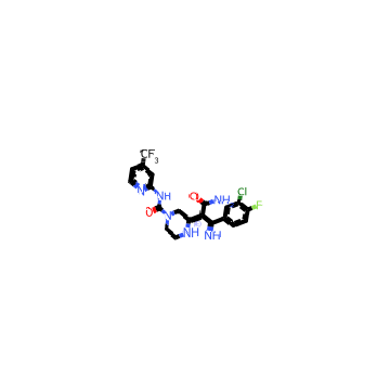 N=C(/C(C(N)=O)=C1/CN(C(=O)Nc2cc(C(F)(F)F)ccn2)CCN1)c1ccc(F)c(Cl)c1